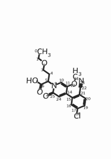 CCOCCC(C(=O)O)n1cc(OC)c(-c2cc(Cl)ccc2C#N)cc1=O